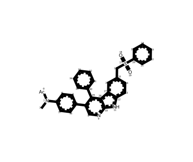 CC(=O)N(C)c1ccc(-c2cnc3[nH]c4ccc(CS(=O)(=O)c5ccccc5)cc4c3c2-c2ccccc2)cc1